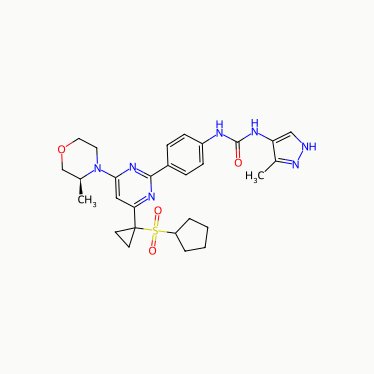 Cc1n[nH]cc1NC(=O)Nc1ccc(-c2nc(N3CCOC[C@@H]3C)cc(C3(S(=O)(=O)C4CCCC4)CC3)n2)cc1